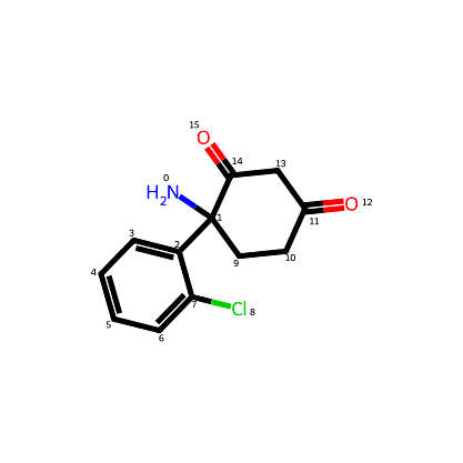 NC1(c2ccccc2Cl)CCC(=O)CC1=O